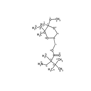 COC1(C)OCC(COC(=O)C(C)(CN)C(C)(C)C)OC1(C)OC